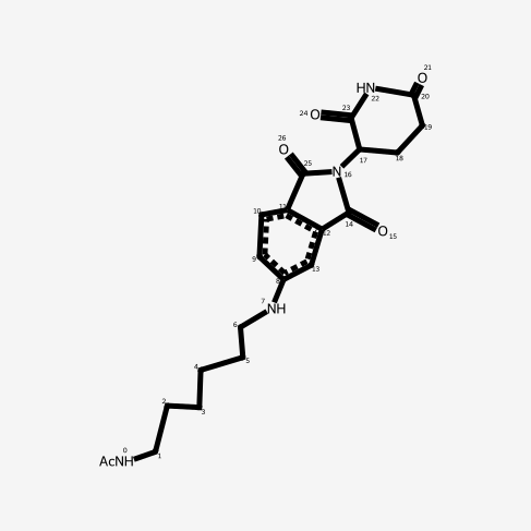 CC(=O)NCCCCCCNc1ccc2c(c1)C(=O)N(C1CCC(=O)NC1=O)C2=O